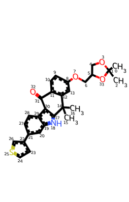 CC1(C)OCC(COc2ccc3c(c2)C(C)(C)c2[nH]c4cc(-c5ccsc5)ccc4c2C3=O)O1